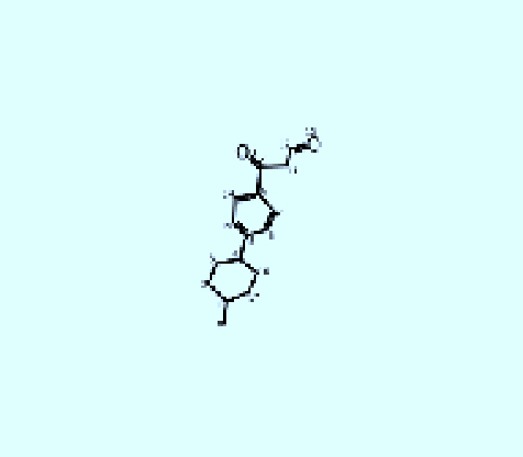 CC1CCC(c2ccc(C(=O)CC=O)cc2)CC1